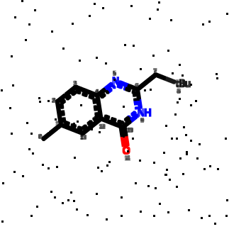 Cc1ccc2nc(CC(C)(C)C)[nH]c(=O)c2c1